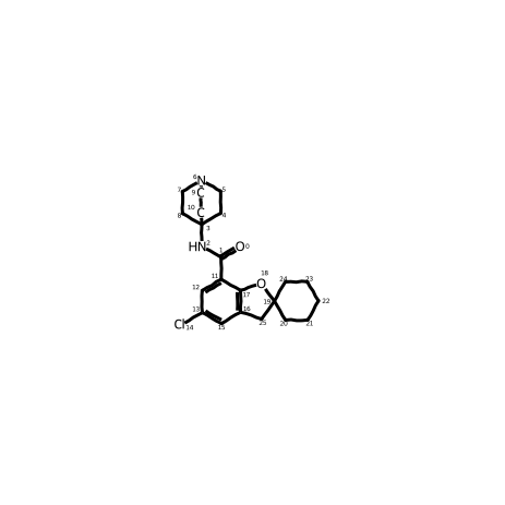 O=C(NC12CCN(CC1)CC2)c1cc(Cl)cc2c1OC1(CCCCC1)C2